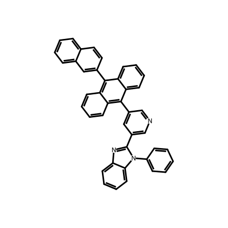 c1ccc(-n2c(-c3cncc(-c4c5ccccc5c(-c5ccc6ccccc6c5)c5ccccc45)c3)nc3ccccc32)cc1